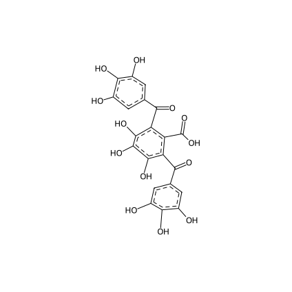 O=C(c1cc(O)c(O)c(O)c1)c1c(O)c(O)c(O)c(C(=O)c2cc(O)c(O)c(O)c2)c1C(=O)O